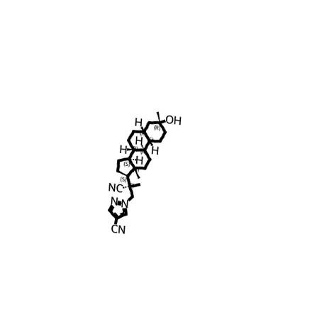 C[C@@]1(O)CC[C@H]2[C@H](CC[C@@H]3[C@@H]2CC[C@@]2(C)[C@H]3CC[C@@H]2[C@](C)(C#N)Cn2cc(C#N)cn2)C1